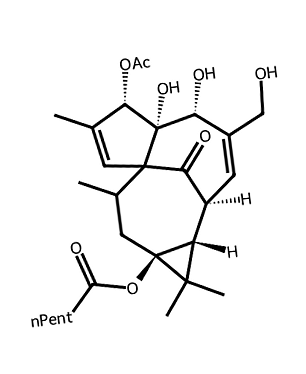 CCCCCC(=O)O[C@@]12CC(C)C34C=C(C)[C@H](OC(C)=O)[C@@]3(O)[C@H](O)C(CO)=C[C@H](C4=O)[C@@H]1C2(C)C